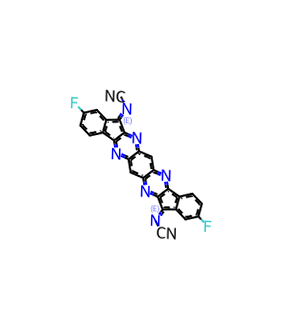 N#C/N=c1\c2cc(F)ccc2c2nc3cc4nc5/c(=N/C#N)c6cc(F)ccc6c5nc4cc3nc12